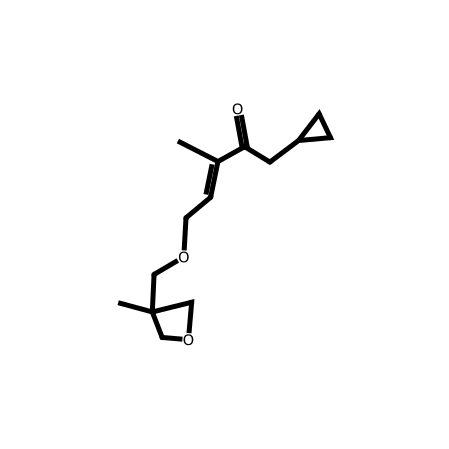 C/C(=C\COCC1(C)COC1)C(=O)CC1CC1